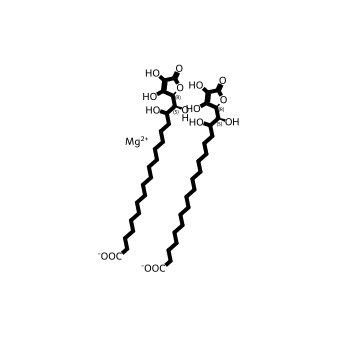 O=C([O-])CCCCCCCCCCCCCCCC(O)[C@H](O)[C@H]1OC(=O)C(O)=C1O.O=C([O-])CCCCCCCCCCCCCCCC(O)[C@H](O)[C@H]1OC(=O)C(O)=C1O.[Mg+2]